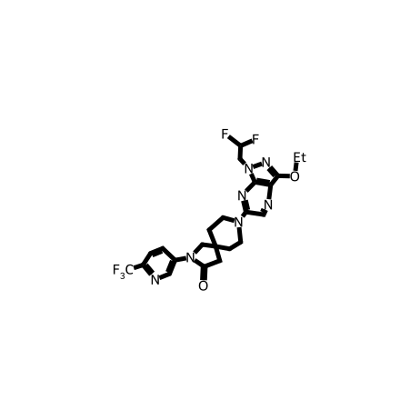 CCOc1nn(CC(F)F)c2nc(N3CCC4(CC3)CC(=O)N(c3ccc(C(F)(F)F)nc3)C4)cnc12